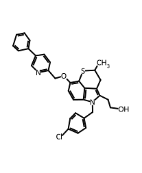 CC1Cc2c(CCO)n(Cc3ccc(Cl)cc3)c3ccc(OCc4ccc(-c5ccccc5)cn4)c(c23)S1